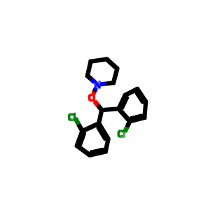 Clc1ccccc1C(ON1CCCCC1)c1ccccc1Cl